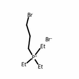 CC[P+](CC)(CC)CCCBr.[Br-]